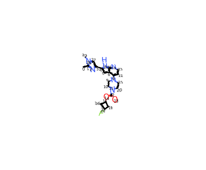 Cc1nc(-c2cc3c(N4CCN(C(=O)O[C@H]5C[C@H](F)C5)CC4)ccnc3[nH]2)cn1C